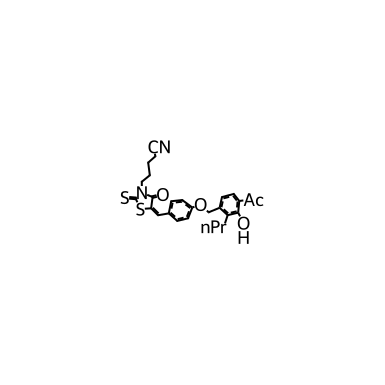 CCCc1c(COc2ccc(C=C3SC(=S)N(CCCCC#N)C3=O)cc2)ccc(C(C)=O)c1O